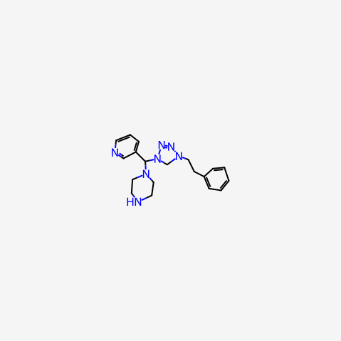 c1ccc(CCN2CN(C(c3cccnc3)N3CCNCC3)N=N2)cc1